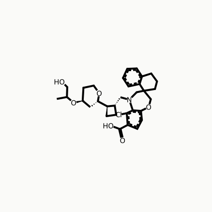 CC(CO)O[C@H]1CCO[C@H]([C@@H]2CC[C@H]2CN2CC3(CCCc4ccccc43)COc3ccc(C(=O)O)c(Cl)c32)C1